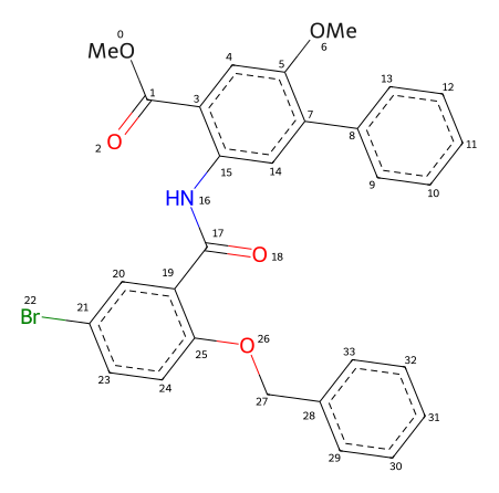 COC(=O)c1cc(OC)c(-c2ccccc2)cc1NC(=O)c1cc(Br)ccc1OCc1ccccc1